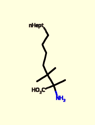 CCCCCCCCCCCC(C)(C)C(C)(N)C(=O)O